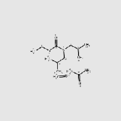 C=O.CCSC(=O)N(CC(C)C)CC(C)C.NC(N)=O